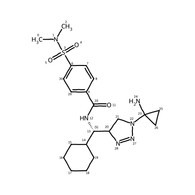 CN(C)S(=O)(=O)c1ccc(C(=O)N[C@@H](C2CCCCC2)C2CN(C3(N)CC3)N=N2)cc1